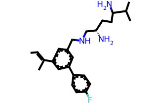 C/C=C(\C)c1cc(CNC[C@@H](N)CCC(N)C(C)C)cc(-c2ccc(F)cc2)c1